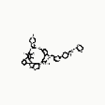 Cc1c(Cl)c2c(Cl)c(C)c1-c1c(C3=CCCC3)sc3ncnc(c13)O[C@@H](C(=O)O)Cc1cc(ccc1OCc1ccnc([C@H]3CC[C@](F)(COC[C@@H]4COCCO4)CC3)n1)OC[C@@H](CN1CCN(C)CC1)O2